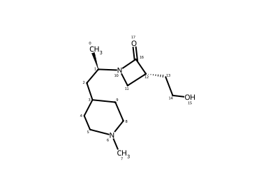 C[C@H](CC1CCN(C)CC1)N1C[C@@H](CCO)C1=O